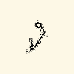 C[C@@H](COCc1ccccc1)OCCOCCn1cc(Br)cc1C#N